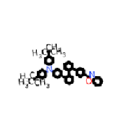 CC(C)(C)c1ccc(N(c2ccc(-c3ccccc3-c3ccccc3-c3ccc(-c4nc5ccccc5o4)cc3)cc2)c2ccc(C(C)(C)C)cc2)cc1